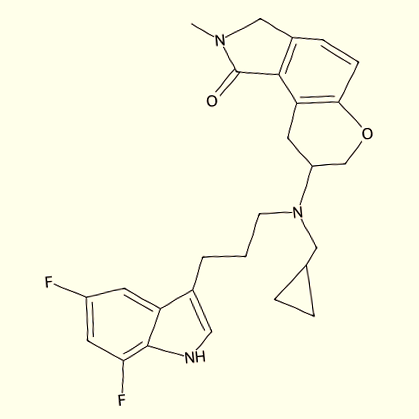 CN1Cc2ccc3c(c2C1=O)CC(N(CCCc1c[nH]c2c(F)cc(F)cc12)CC1CC1)CO3